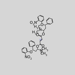 CN(C)C(CC(Oc1ccccc1[N+](=O)[O-])c1ccccc1)OC(=O)/C=C/C(=O)OC(CC(Oc1ccccc1[N+](=O)[O-])c1ccccc1)N(C)C